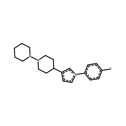 Fc1ccc(-n2ccc(C3CCN(N4CCCCC4)CC3)c2)cc1